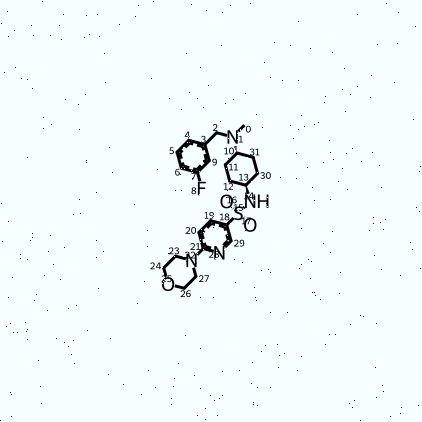 CN(Cc1cccc(F)c1)[C@H]1CC[C@H](NS(=O)(=O)c2ccc(N3CCOCC3)nc2)CC1